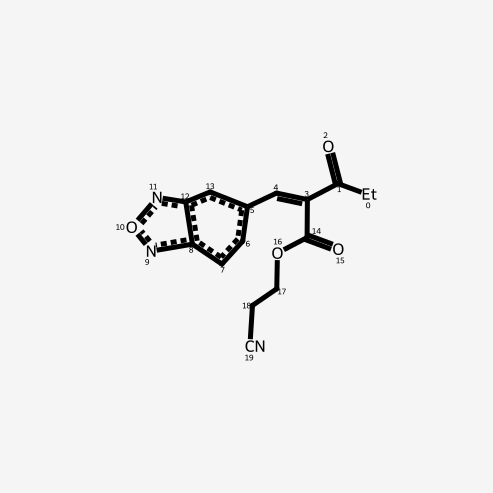 CCC(=O)C(=Cc1ccc2nonc2c1)C(=O)OCCC#N